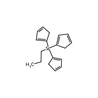 CCC[Si](C1=CC=CC1)(C1=CC=CC1)C1=CC=CC1